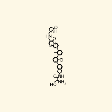 Cc1c(-c2ccn3c(=O)c(CNCC4CCC(=O)N4)cnc3c2)cccc1-c1cccc(-c2ccc3c(c2)CC(NC(=O)C(N)CO)C3)c1Cl